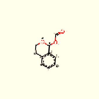 O=COC1OCCc2ccccc21